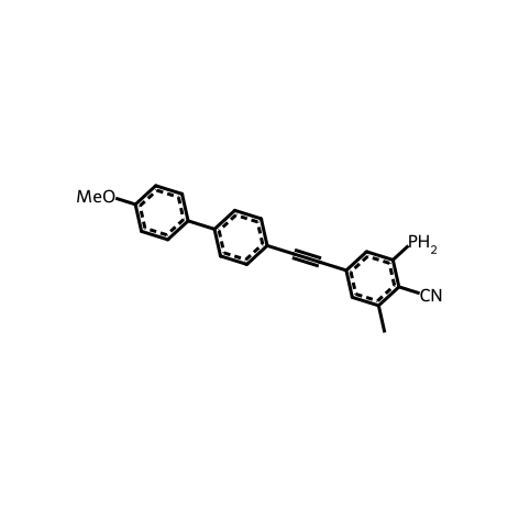 COc1ccc(-c2ccc(C#Cc3cc(C)c(C#N)c(P)c3)cc2)cc1